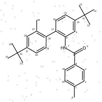 Cc1ccc(C(=O)Nc2cc(C(C)(C)C)ccc2-c2ccc(C(C)(C)C)cc2C)cc1